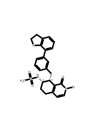 CCn1ccc2c(c1=O)[C@@H](Cc1cccc(-c3cccc4c3OCC4)c1)[C@@H](NS(C)(=O)=O)CC2